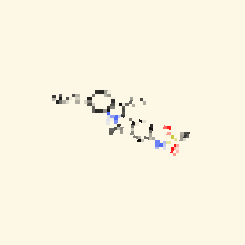 CCCn1c(-c2ccc(N(C)S(=O)(=O)C(C)C)cc2)c(C#N)c2ccc(OC)cc21